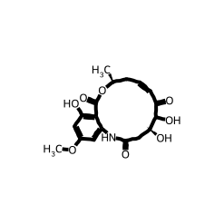 COc1cc(O)c2c(c1)NC(=O)C[C@H](O)C(O)C(=O)/C=C\C[C@H](C)OC2=O